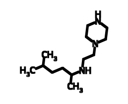 CC(C)CCC(C)NCCN1CCNCC1